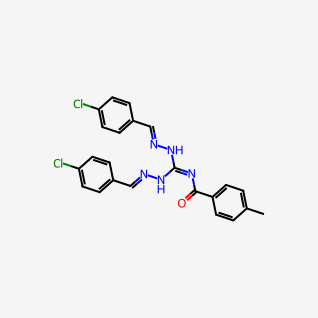 Cc1ccc(C(=O)N=C(NN=Cc2ccc(Cl)cc2)NN=Cc2ccc(Cl)cc2)cc1